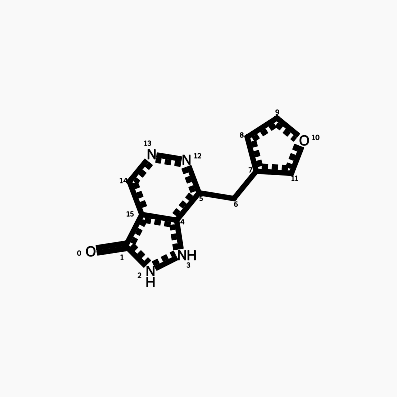 O=c1[nH][nH]c2c(Cc3ccoc3)nncc12